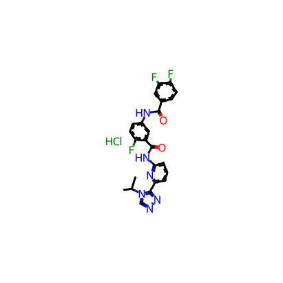 CC(C)n1cnnc1-c1cccc(NC(=O)c2cc(NC(=O)c3ccc(F)c(F)c3)ccc2F)n1.Cl